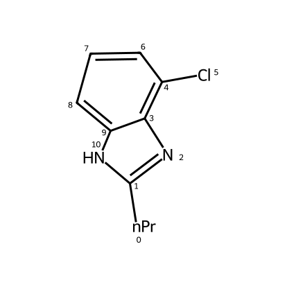 CCCc1nc2c(Cl)cccc2[nH]1